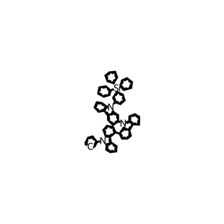 c1ccc(-n2c3ccccc3c3c(-c4cccc5c6ccccc6n(-c6ccc7c8ccccc8n(-c8cccc([Si](c9ccccc9)(c9ccccc9)c9ccccc9)c8)c7c6)c45)cccc32)cc1